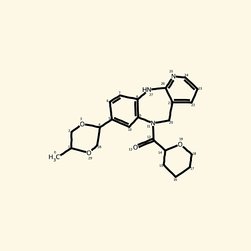 CC1COC(c2ccc3c(c2)N(C(=O)C2CCCCO2)Cc2cccnc2N3)CO1